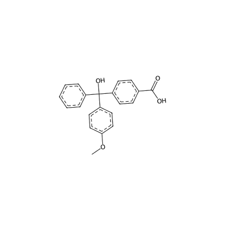 COc1ccc(C(O)(c2ccccc2)c2ccc(C(=O)O)cc2)cc1